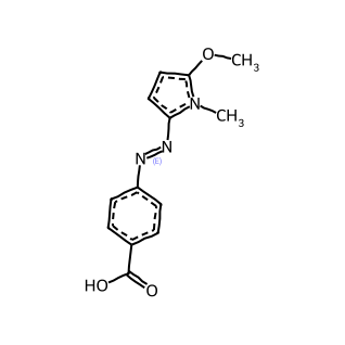 COc1ccc(/N=N/c2ccc(C(=O)O)cc2)n1C